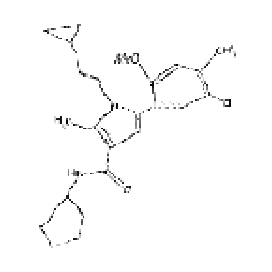 COc1cc(C)c(Cl)cc1-c1cc(C(=O)NC2CCCCC2)c(C)n1CCC1CC1